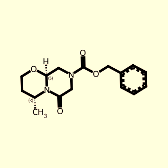 C[C@@H]1CCO[C@H]2CN(C(=O)OCc3ccccc3)CC(=O)N12